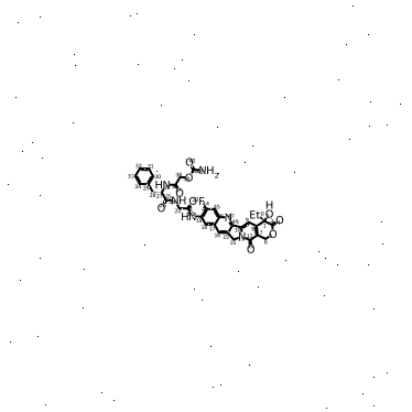 CC[C@@]1(O)C(=O)OCc2c1cc1n(c2=O)Cc2cc3cc(NC(=O)CNC(=O)[C@H](Cc4ccccc4)NC(=O)COC(N)=O)c(F)cc3nc2-1